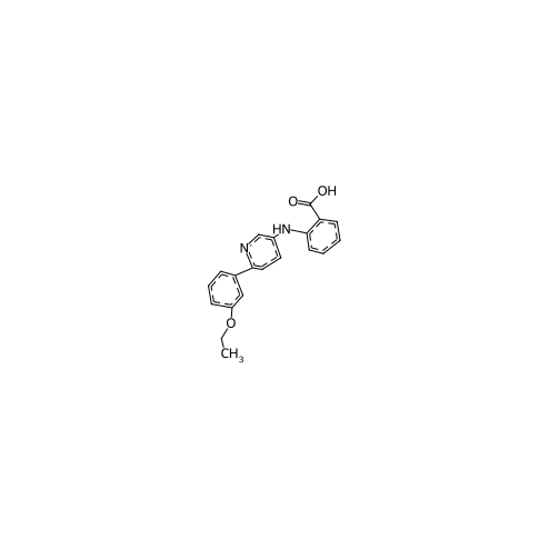 CCOc1cccc(-c2ccc(Nc3ccccc3C(=O)O)cn2)c1